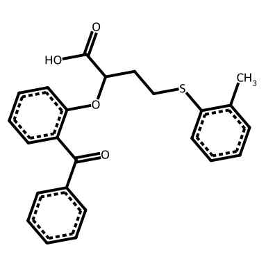 Cc1ccccc1SCCC(Oc1ccccc1C(=O)c1ccccc1)C(=O)O